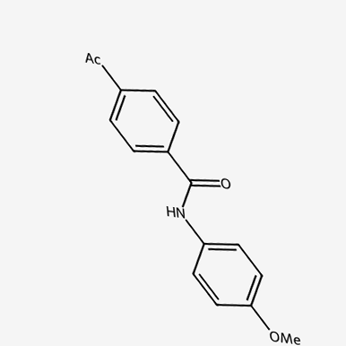 COc1ccc(NC(=O)c2ccc(C(C)=O)cc2)cc1